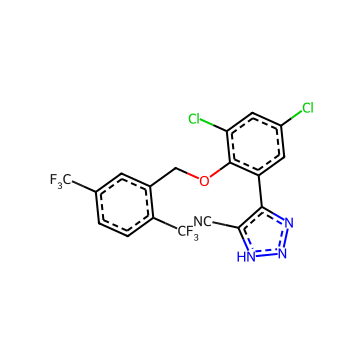 N#Cc1[nH]nnc1-c1cc(Cl)cc(Cl)c1OCc1cc(C(F)(F)F)ccc1C(F)(F)F